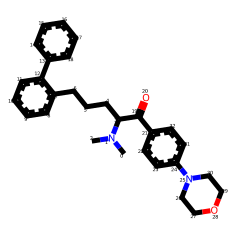 CN(C)C(CCCc1ccccc1-c1ccccc1)C(=O)c1ccc(N2CCOCC2)cc1